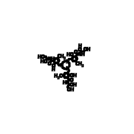 Cc1cc(CN2CCN(Cc3cc(C)cc(C(=O)NC(O)CO)c3O)CCN(Cc3cc(C)cc(C(=O)NC(O)CO)c3O)CC2)c(O)c(C(=O)NC(O)CO)c1